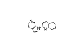 C1=Cc2nc(-n3ccc4ccncc43)ccc2CC1